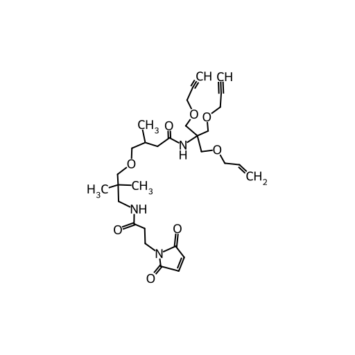 C#CCOCC(COCC#C)(COCC=C)NC(=O)CC(C)COCC(C)(C)CNC(=O)CCN1C(=O)C=CC1=O